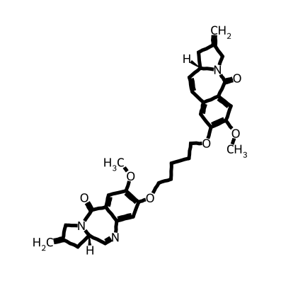 C=C1C[C@H]2C=Cc3cc(OCCCCCOc4cc5c(cc4OC)C(=O)N4CC(=C)C[C@H]4C=N5)c(OC)cc3C(=O)N2C1